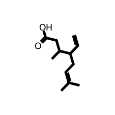 C=CC(CC=C(C)C)[C](C)CC(=O)O